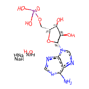 Nc1ncnc2c1ncn2[C@@H]1O[C@H](COP(=O)(O)O)[C@@H](O)[C@H]1O.O.[NaH].[NaH].[NaH]